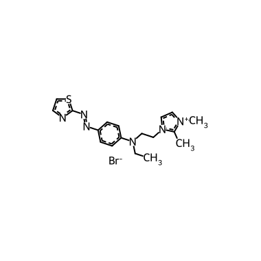 CCN(CCn1cc[n+](C)c1C)c1ccc(/N=N/c2nccs2)cc1.[Br-]